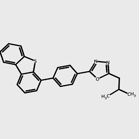 CC(C)Cc1nnc(-c2ccc(-c3cccc4c3sc3ccccc34)cc2)o1